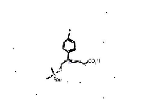 CC(C)(C)[Si](C)(C)OC/C(=C/CCC(=O)O)c1ccc(F)cc1